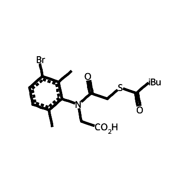 CCC(C)C(=O)SCC(=O)N(CC(=O)O)c1c(C)ccc(Br)c1C